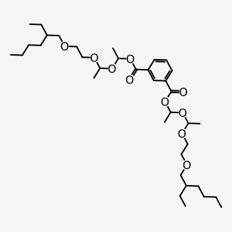 CCCCC(CC)COCCOC(C)OC(C)OC(=O)c1cccc(C(=O)OC(C)OC(C)OCCOCC(CC)CCCC)c1